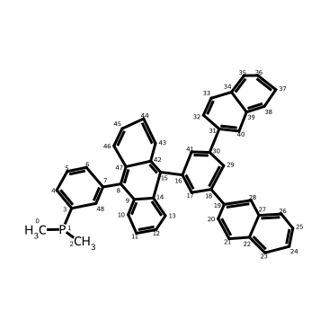 CP(C)c1cccc(-c2c3ccccc3c(-c3cc(-c4ccc5ccccc5c4)cc(-c4ccc5ccccc5c4)c3)c3ccccc23)c1